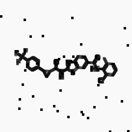 Cc1cccc(Cl)c1NC(=O)c1ccc2nc(NC(=O)C3CC3c3ccc(C(F)(F)F)cc3)sc2c1